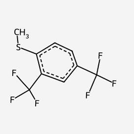 CSc1ccc(C(F)(F)F)cc1C(F)(F)F